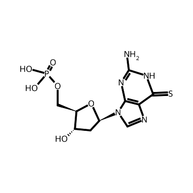 Nc1nc2c(ncn2[C@H]2C[C@H](O)[C@@H](COP(=O)(O)O)O2)c(=S)[nH]1